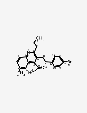 CCCc1nc2ccc(C)cc2c(C(=O)O)c1CCc1ccc(Br)cc1